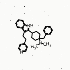 CN(C)C1(Cc2ccccc2)CCC(c2[nH]c3ccccc3c2CCc2ccncc2)CC1